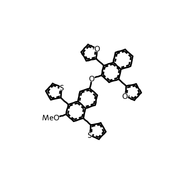 COc1cc(-c2cccs2)c2ccc(Oc3cc(-c4ccco4)c4ccccc4c3-c3ccco3)cc2c1-c1cccs1